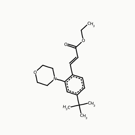 CCOC(=O)/C=C/c1ccc(C(C)(C)C)cc1N1CCOCC1